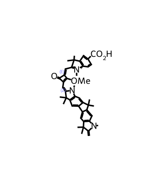 C=C1N(C)c2cc3c(cc2C1(C)C)-c1cc2c(cc1C3(C)C)N(C)/C(=C\C1=C(OC)C(=C\C3=[N+](C)c4ccc(C(=O)O)cc4C3(C)C)/C1=O)C2(C)C